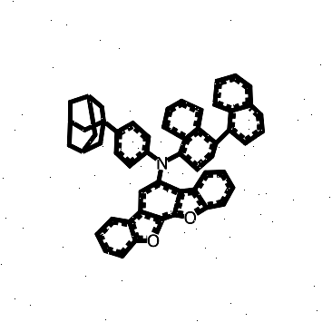 c1ccc2c(-c3ccc(N(c4ccc(C56CC7CC(CC(C7)C5)C6)cc4)c4cc5c6ccccc6oc5c5oc6ccccc6c45)c4ccccc34)cccc2c1